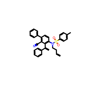 C=CCCN(c1ccc(-c2ccccc2)c(C#N)c1C(=C)c1ccccc1)S(=O)(=O)c1ccc(C)cc1